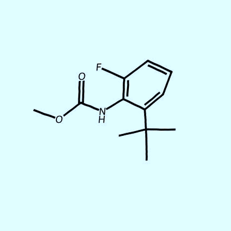 COC(=O)Nc1c(F)cccc1C(C)(C)C